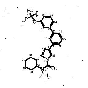 CN(C(=O)n1cnc(-c2cccc(-c3cccc(OC(F)(F)F)c3)c2)c1)C1CCCCC1